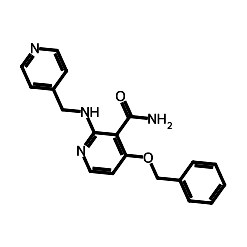 NC(=O)c1c(OCc2ccccc2)ccnc1NCc1ccncc1